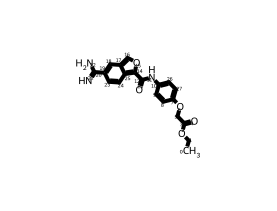 CCOC(=O)COc1ccc(NC(=O)c2occ3cc(C(=N)N)ccc23)cc1